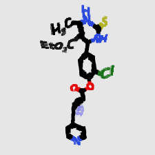 CCOC(=O)C1=C(C)NC(=S)NC1c1ccc(OC(=O)/C=C/c2ccncc2)c(Cl)c1